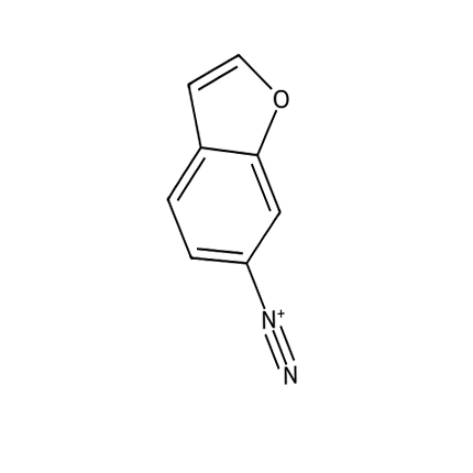 N#[N+]c1ccc2ccoc2c1